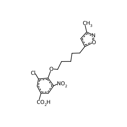 Cc1cc(CCCCCOc2c(Cl)cc(C(=O)O)cc2[N+](=O)[O-])on1